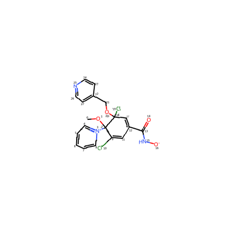 COC1([n+]2ccccc2)C(Cl)=CC(C(=O)N[O-])=CC1(Cl)OCc1ccncc1